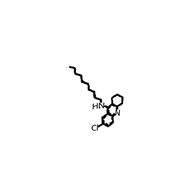 [CH2]CCCCCCCCCNc1c2c(nc3ccc(Cl)cc13)CCCC2